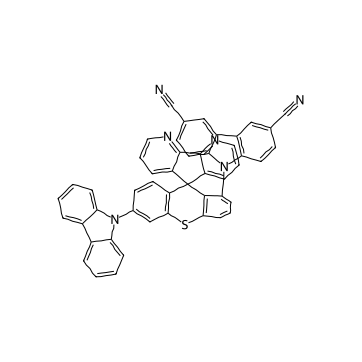 N#Cc1ccc2c(c1)c1cc(C#N)ccc1n2-c1cccc2c1C1(c3ccc(-n4c5ccccc5c5ccccc54)cc3S2)c2cccnc2-c2ncccc21